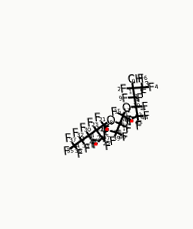 CC(F)(C(F)(F)F)C(F)(F)C(F)(OC(F)(F)C(F)(OC(F)(F)C(F)(C(F)(F)F)C(F)(F)C(F)(F)C(F)(F)F)C(F)(F)F)C(F)(F)F